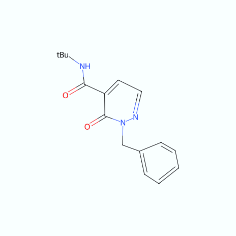 CC(C)(C)NC(=O)c1ccnn(Cc2ccccc2)c1=O